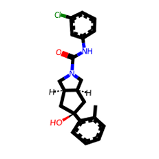 Cc1ccccc1[C@]1(O)C[C@H]2CN(C(=O)Nc3cccc(Cl)c3)C[C@H]2C1